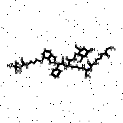 CCC(=O)NCCNC(=O)/N=C(/N)NCCC[C@@H](NC(=O)[C@H](c1ccccc1)N1Cc2cccc(OCCCNC(=O)OC(C)(C)C)c2C1)C(=O)NCc1c(F)cc(O)cc1F